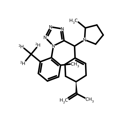 [2H]C([2H])([2H])c1cccc(C)c1-n1nnnc1C(C1=CC[C@@H](C(=C)C)CC1)N1CCCC1C